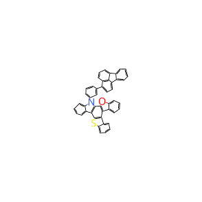 c1cc(-c2ccc3c4c(cccc24)-c2ccccc2-3)cc(-n2c3ccccc3c3c4sc5ccccc5c4c4c5ccccc5oc4c32)c1